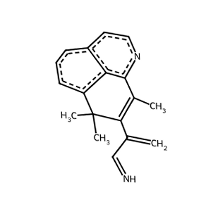 C=C(C=N)C1=C(C)c2nccc3cccc(c23)C1(C)C